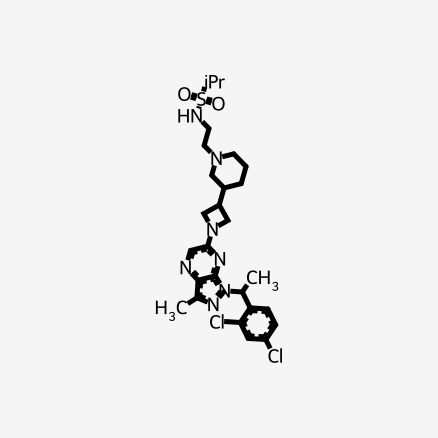 Cc1nn(C(C)c2ccc(Cl)cc2Cl)c2nc(N3CC(C4CCCN(CCNS(=O)(=O)C(C)C)C4)C3)cnc12